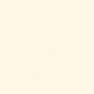 COc1ccccc1Oc1c(NS(=O)(=O)c2ccc(C(C)C)cn2)nc(-c2ccc3c(c2)OCO3)nc1OCC1CCCO1